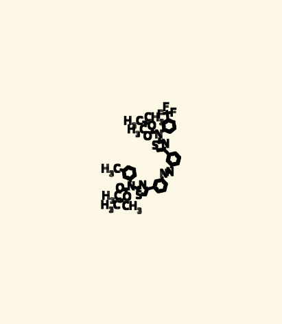 Cc1cccc(N(C(=O)OC(C)(C)C)c2nc(-c3cccc(/N=N/c4cccc(-c5csc(N(C(=O)OC(C)(C)C)c6cccc(C(F)(F)F)c6)n5)c4)c3)cs2)c1